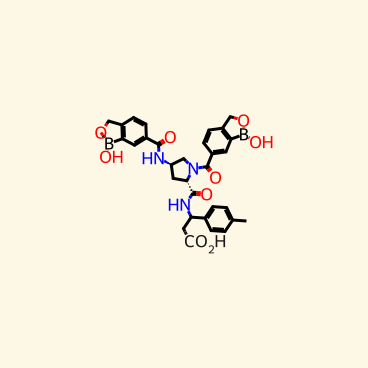 Cc1ccc(C(CC(=O)O)NC(=O)[C@@H]2C[C@@H](NC(=O)c3ccc4c(c3)B(O)OC4)CN2C(=O)c2ccc3c(c2)B(O)OC3)cc1